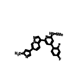 CSNc1cc(-c2ccc(F)cc2F)cc(-c2cnn3cc(-c4cnn(C)c4)ccc23)n1